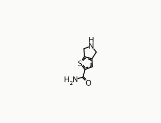 NC(=O)c1cc2c(s1)CNC2